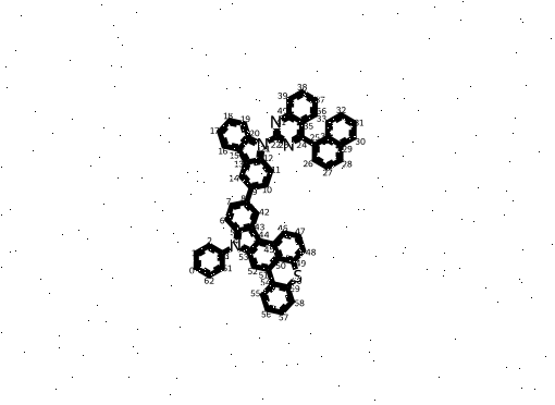 c1ccc(-n2c3ccc(-c4ccc5c(c4)c4ccccc4n5-c4nc(-c5cccc6ccccc56)c5ccccc5n4)cc3c3c4cccc5c4c(cc32)-c2ccccc2S5)cc1